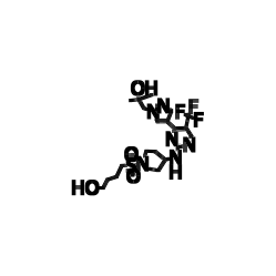 CC(C)(O)Cn1cc(-c2nc(NC3CCN(S(=O)(=O)CCCCO)CC3)ncc2C(F)(F)F)cn1